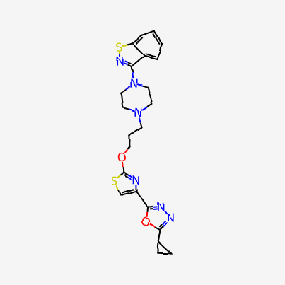 c1ccc2c(N3CCN(CCCOc4nc(-c5nnc(C6CC6)o5)cs4)CC3)nsc2c1